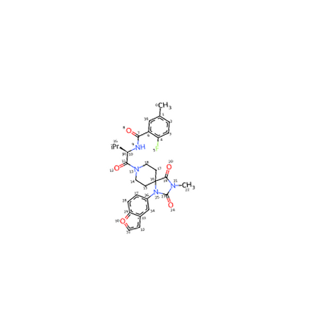 Cc1ccc(F)c(C(=O)N[C@@H](C(=O)N2CCC3(CC2)C(=O)N(C)C(=O)N3c2ccc3occc3c2)C(C)C)c1